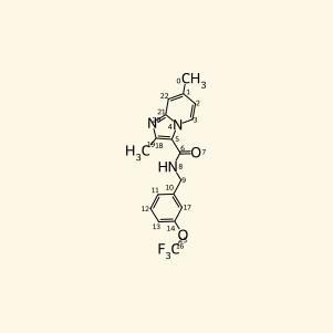 Cc1ccn2c(C(=O)NCc3cccc(OC(F)(F)F)c3)c(C)nc2c1